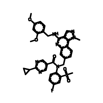 COc1ccc(CNc2nc3cc(CN(C(=O)c4cnc(C5CC5)nc4)c4ccc(F)cc4S(C)(=O)=O)ccc3c3c2cnn3C)c(OC)c1